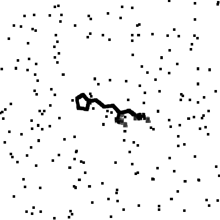 NC[C@@H](N)CCCN1CCCC1